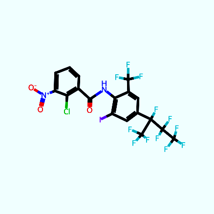 O=C(Nc1c(I)cc(C(F)(C(F)(F)F)C(F)(F)C(F)(F)F)cc1C(F)(F)F)c1cccc([N+](=O)[O-])c1Cl